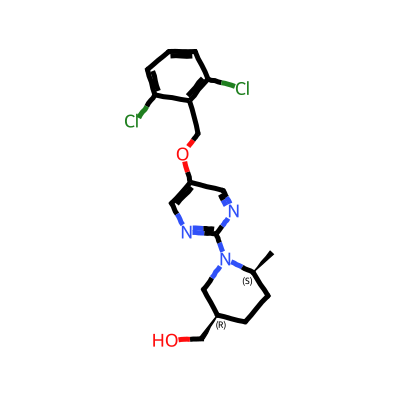 C[C@H]1CC[C@@H](CO)CN1c1ncc(OCc2c(Cl)cccc2Cl)cn1